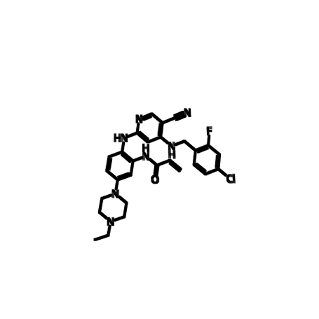 C=CC(=O)Nc1cc(N2CCN(CC)CC2)ccc1Nc1cc(NCc2ccc(Cl)cc2F)c(C#N)cn1